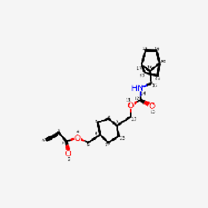 C=CC(=O)OCC1CCC(COC(=O)NCC2C3CCC2CC3)CC1